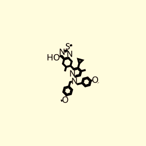 COc1ccc(CN(Cc2ccc(OC)cc2)c2cc(C)c(C3CC3)c(C3Cc4nc(SC)nc(O)c4CC3C)n2)cc1